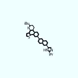 CCC(C)C1=Nc2c(c3ccc(-c4ccc5cc(-c6cnc(C(C)C)[nH]6)ccc5c4)cc3c3sccc23)CC1